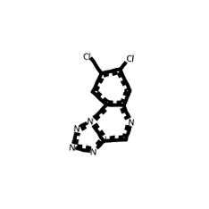 Clc1cc2ncc3nnnn3c2cc1Cl